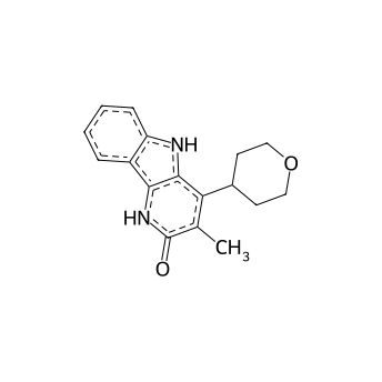 Cc1c(C2CCOCC2)c2[nH]c3ccccc3c2[nH]c1=O